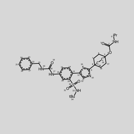 CC(C)NC(=O)OC12CCC(c3ncc(-c4ccc(NC(=O)NCc5ccccc5)cc4S(=O)(=O)NC(C)(C)C)s3)(CC1)CC2